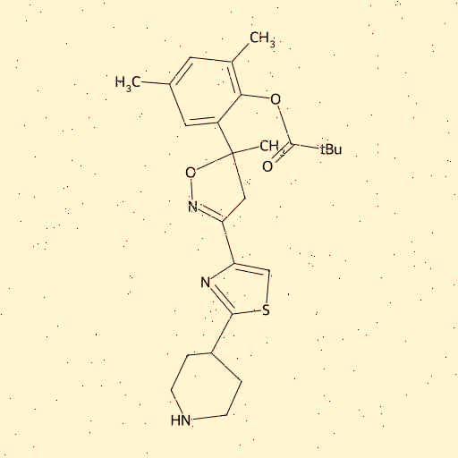 Cc1cc(C)c(OC(=O)C(C)(C)C)c(C2(C)CC(c3csc(C4CCNCC4)n3)=NO2)c1